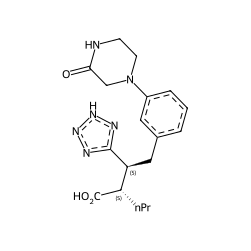 CCC[C@H](C(=O)O)[C@H](Cc1cccc(N2CCNC(=O)C2)c1)c1nn[nH]n1